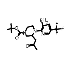 Bc1cc(C(F)(F)F)cnc1N1CCN(C(=O)OC(C)(C)C)CC1CC(C)=O